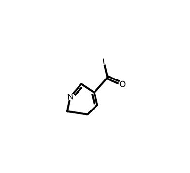 O=C(I)C1=CCCN=C1